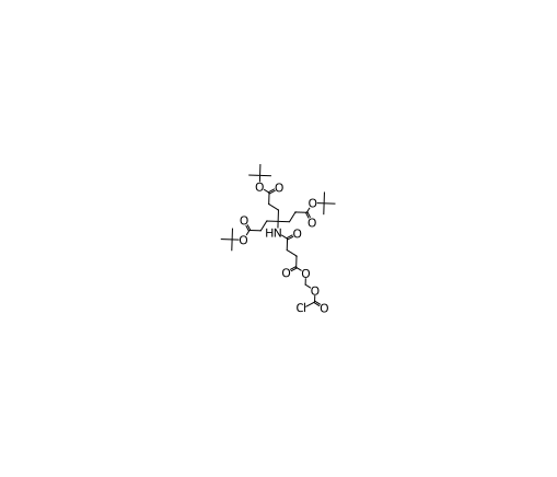 CC(C)(C)OC(=O)CCC(CCC(=O)OC(C)(C)C)(CCC(=O)OC(C)(C)C)NC(=O)CCC(=O)OCOC(=O)Cl